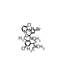 Cc1cc(Cl)cc(C(=S)N(C)C)c1N(C)C(=O)c1cc(Br)nn1-c1ncccc1Cl